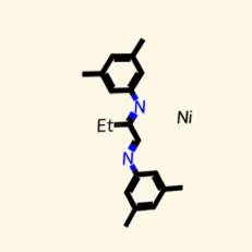 CCC(/C=N/c1cc(C)cc(C)c1)=N\c1cc(C)cc(C)c1.[Ni]